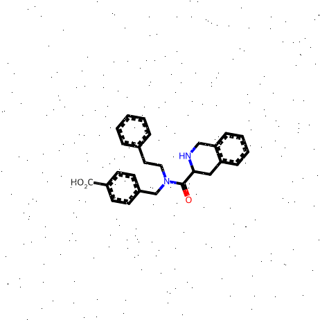 O=C(O)c1ccc(CN(CCc2ccccc2)C(=O)C2Cc3ccccc3CN2)cc1